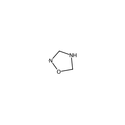 C1[N]OCN1